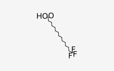 O=C(O)CCCCCCCCCCCCCC(F)(F)F